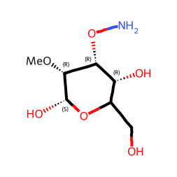 CO[C@@H]1[C@H](ON)[C@H](O)C(CO)O[C@@H]1O